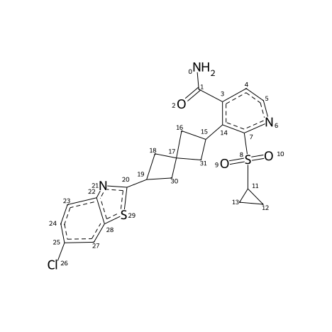 NC(=O)c1ccnc(S(=O)(=O)C2CC2)c1C1CC2(CC(c3nc4ccc(Cl)cc4s3)C2)C1